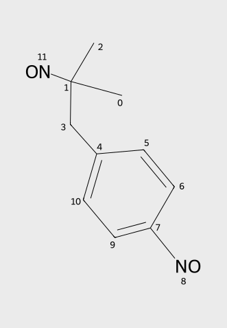 CC(C)(Cc1ccc(N=O)cc1)N=O